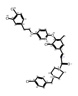 Cc1cc(/C=C/C(=O)N2CCN(Cc3ccc(Cl)cc3)CC2)cc(Cl)c1Oc1ccc(OCCc2ccc(Cl)c(Cl)c2)cn1